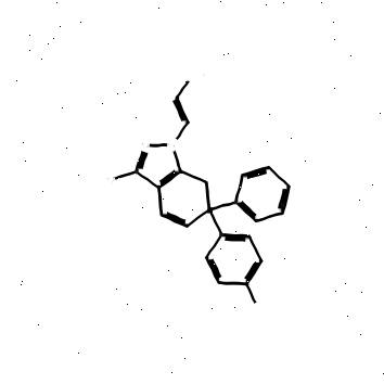 Nc1nn(C=CC=O)c2c1C=CC(c1ccccc1)(c1ccc(F)cc1)C2